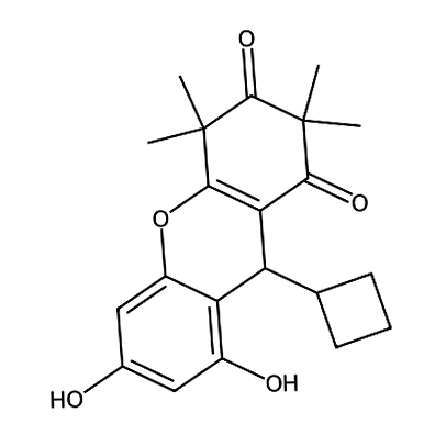 CC1(C)C(=O)C2=C(Oc3cc(O)cc(O)c3C2C2CCC2)C(C)(C)C1=O